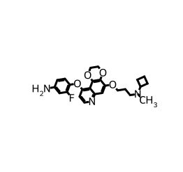 CN(CCCOc1cc2nccc(Oc3ccc(N)cc3F)c2c2c1OCCO2)C1CCC1